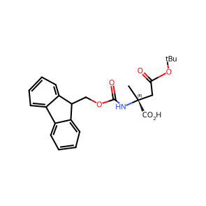 CC(C)(C)OC(=O)C[C@@](C)(NC(=O)OCC1c2ccccc2-c2ccccc21)C(=O)O